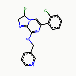 Clc1ccccc1C1=CN2C(=NCC2Br)C(NCc2cccnc2)=N1